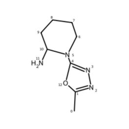 Cc1nnc(N2CCCCC2N)o1